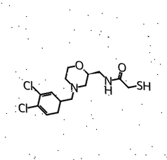 O=C(CS)NC[C@H]1CN(CC2C=C(Cl)C(Cl)=CC2)CCO1